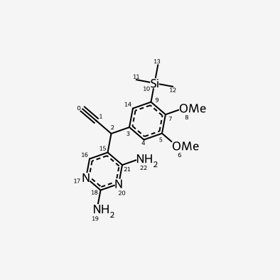 C#CC(c1cc(OC)c(OC)c([Si](C)(C)C)c1)c1cnc(N)nc1N